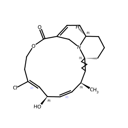 C[C@H]1/C=C\[C@@H](O)/C=C(\Cl)CCOC(=O)C2=CC[C@H]3CCC[C@]4(CCCC14)N3C2